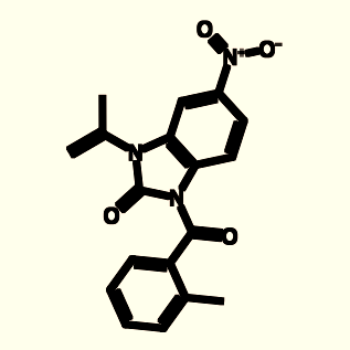 C=C(C)n1c(=O)n(C(=O)c2ccccc2C)c2ccc([N+](=O)[O-])cc21